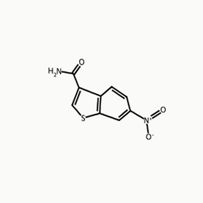 NC(=O)c1csc2cc([N+](=O)[O-])ccc12